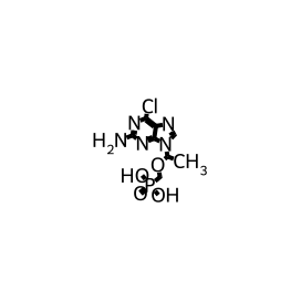 CC(OCP(=O)(O)O)n1cnc2c(Cl)nc(N)nc21